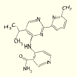 Cc1cccc(-c2ncc(C(C)C)c(Nc3ccncc3C(N)=O)n2)n1